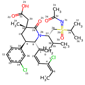 C=C(/C=C\C(Cl)=C/C)[C@@H]1[C@@H](c2cccc(Cl)c2)C[C@](C)(CC(=O)O)C(=O)N1[C@H](CS(=O)(=NC(C)=O)C(C)C)C(C)C